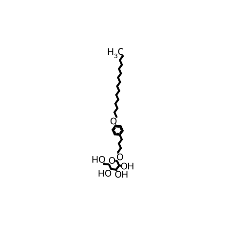 CCCCCCCCCCCCCCCCOc1ccc(CCCCOC2OC(CO)C(O)C(O)C2O)cc1